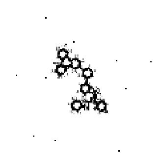 O=S1(=O)c2cc(-c3cccc(-c4ccc5c6ccccc6c6ccccc6c5c4)c3)ccc2-n2c(nc3ccccc32)N1c1ccccc1